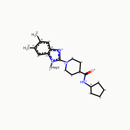 CCCCCCCn1c(N2CCC(C(=O)NC3CCCC3)CC2)nc2cc(C)c(C)cc21